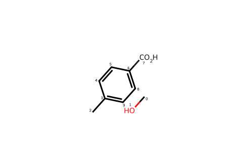 CO.Cc1ccc(C(=O)O)cc1